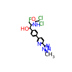 Cn1nnc(-c2ccc(-c3ccc(C(O)C(CF)NC(=O)C(Cl)Cl)cc3)cn2)n1